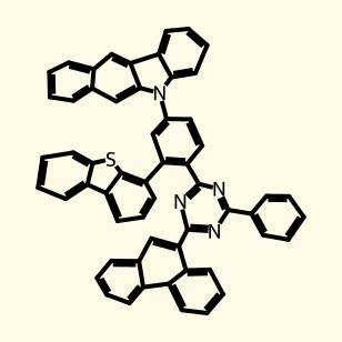 c1ccc(-c2nc(-c3ccc(-n4c5ccccc5c5cc6ccccc6cc54)cc3-c3cccc4c3sc3ccccc34)nc(-c3cc4ccccc4c4ccccc34)n2)cc1